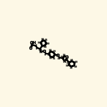 O=C(O)CC/C(=N/OCc1ccc(OCc2coc(-c3ccccc3)n2)cc1)c1ccccc1